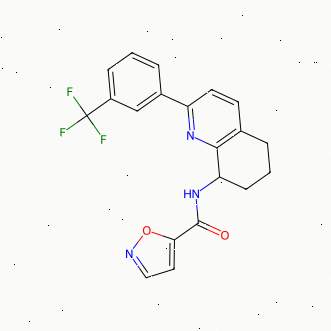 O=C(NC1CCCc2ccc(-c3cccc(C(F)(F)F)c3)nc21)c1ccno1